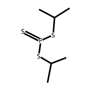 CC(C)S[P](=S)SC(C)C